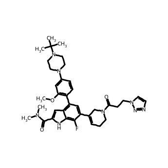 COc1cc(N2CCN(C(C)(C)C)CC2)ccc1-c1cc(C2=CCCN(C(=O)CCn3ccnn3)C2)c(F)c2[nH]c(C(=O)N(C)C)cc12